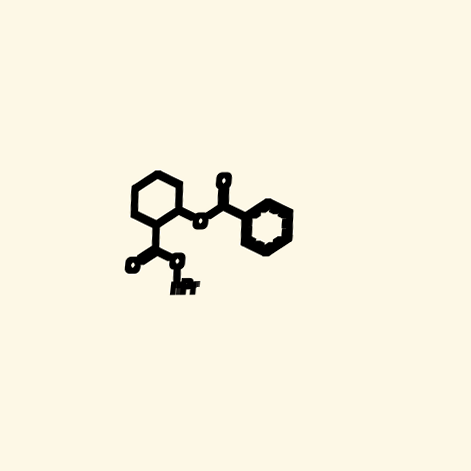 CCCOC(=O)C1CCCCC1OC(=O)c1ccccc1